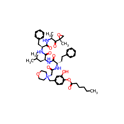 CCCCCC(=O)Oc1ccc(C[N+]2(CC(=O)N[C@@H](CCc3ccccc3)C(=O)N[C@@H](CC(C)C)C(=O)N[C@@H](Cc3ccccc3)C(=O)N[C@@H](C)C(=O)[C@@]3(C)CO3)CCOCC2)cc1O